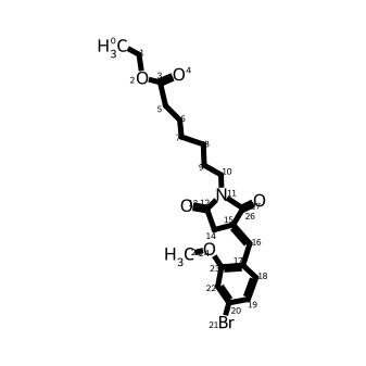 CCOC(=O)CCCCCCN1C(=O)CC(=Cc2ccc(Br)cc2OC)C1=O